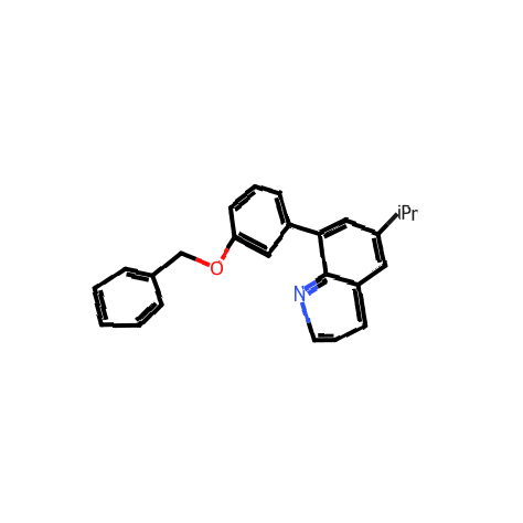 CC(C)c1cc(-c2cccc(OCc3ccccc3)c2)c2ncccc2c1